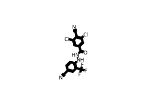 N#Cc1ccc(NNC(=O)c2cc(Cl)c(C#N)c(Cl)c2)c(C(F)(F)F)c1